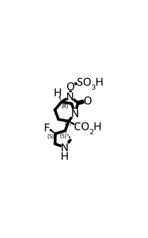 O=C1N(OS(=O)(=O)O)[C@@H]2CC[C@@](C(=O)O)([C@@H]3CNC[C@H]3F)N1C2